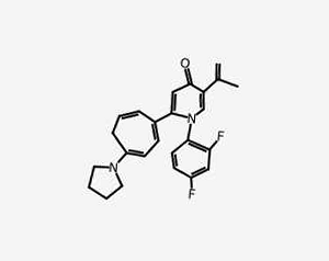 C=C(C)c1cn(-c2ccc(F)cc2F)c(C2=CC=C(N3CCCC3)CC=C2)cc1=O